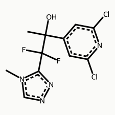 Cn1cnnc1C(F)(F)C(C)(O)c1cc(Cl)nc(Cl)c1